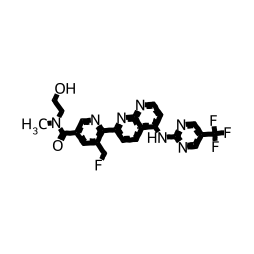 CN(CCO)C(=O)c1cnc(-c2ccc3c(Nc4ncc(C(F)(F)F)cn4)ccnc3n2)c(CF)c1